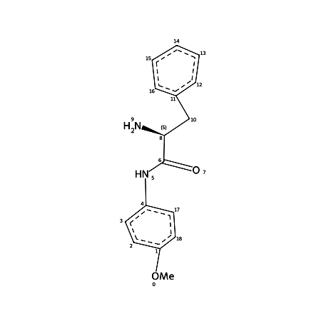 COc1ccc(NC(=O)[C@@H](N)Cc2ccccc2)cc1